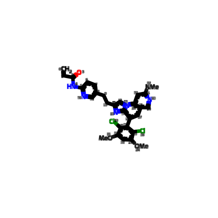 C=CC(=O)Nc1ccc(CCc2cn3c(n2)c(-c2c(Cl)c(OC)cc(OC)c2Cl)cc2cnc(NC)cc23)cn1